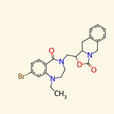 CCN1CCN(CC2OC(=O)N3Cc4ccccc4CC23)C(=O)c2ccc(Br)cc21